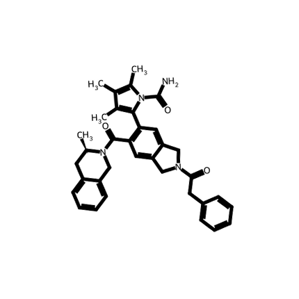 Cc1c(C)c(-c2cc3c(cc2C(=O)N2Cc4ccccc4C[C@H]2C)CN(C(=O)Cc2ccccc2)C3)n(C(N)=O)c1C